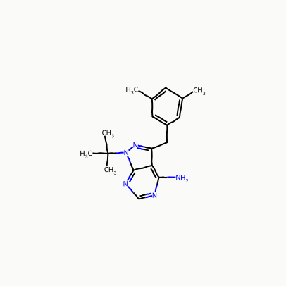 Cc1cc(C)cc(Cc2nn(C(C)(C)C)c3ncnc(N)c23)c1